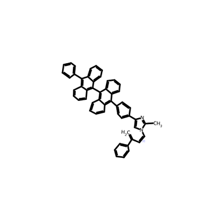 C=C(/C=C\n1cc(-c2ccc(-c3c4ccccc4c(-c4c5ccccc5c(-c5ccccc5)c5ccccc45)c4ccccc34)cc2)nc1C)c1ccccc1